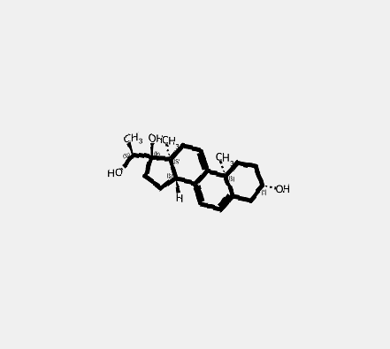 C[C@H](O)[C@@]1(O)CC[C@H]2C3=CC=C4C[C@@H](O)CC[C@]4(C)C3=CC[C@@]21C